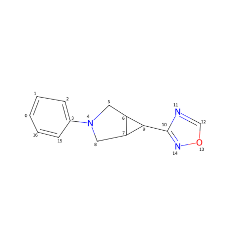 c1ccc(N2CC3C(C2)C3c2ncon2)cc1